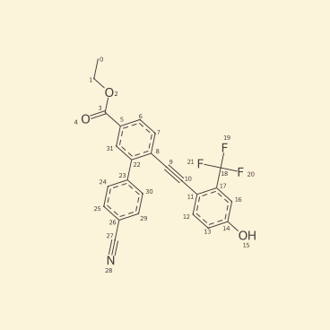 CCOC(=O)c1ccc(C#Cc2ccc(O)cc2C(F)(F)F)c(-c2ccc(C#N)cc2)c1